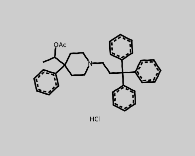 CC(=O)OC(C)C1(c2ccccc2)CCN(CCC(c2ccccc2)(c2ccccc2)c2ccccc2)CC1.Cl